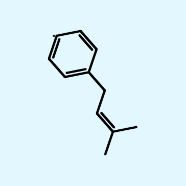 CC(C)=CCc1cc[c]cc1